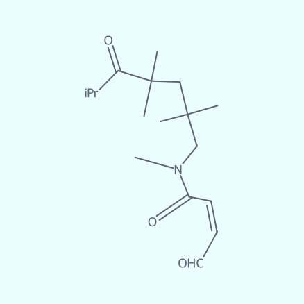 CC(C)C(=O)C(C)(C)CC(C)(C)CN(C)C(=O)/C=C\C=O